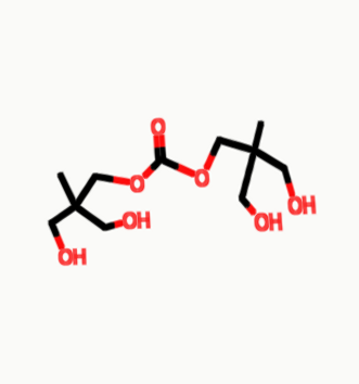 CC(CO)(CO)COC(=O)OCC(C)(CO)CO